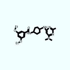 CCOc1cc(OCC)cc(C(=O)NC2CCC(Nc3cc(N(C)C)nc(C)n3)CC2)c1